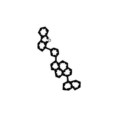 c1cc(-c2ccc3ccc4c(-c5cccc6ccccc56)ccc5ccc2c3c54)cc(-c2cccc3c2oc2ccccc23)c1